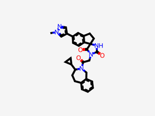 Cn1cc(-c2ccc3c(c2)CCC32NC(=O)N(CC(=O)N3Cc4ccccc4CCC3C3CC3)C2=O)cn1